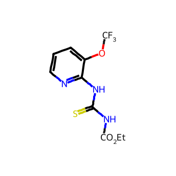 CCOC(=O)NC(=S)Nc1ncccc1OC(F)(F)F